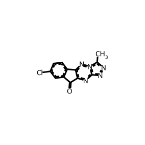 Cc1nnc2nc3c(nn12)-c1ccc(Cl)cc1C3=O